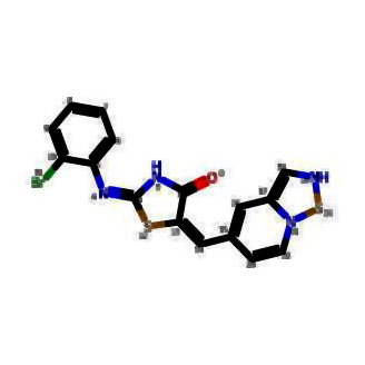 O=C1NC(=Nc2ccccc2Br)SC1=CC1=CC2=CNSN2C=C1